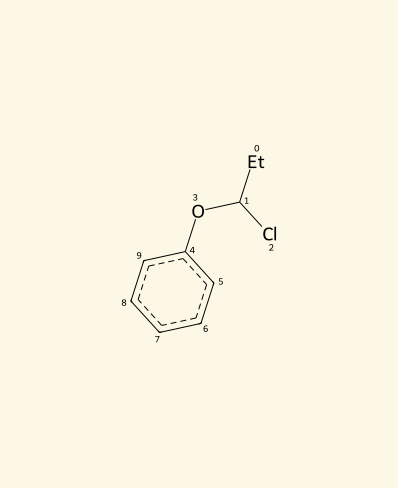 CCC(Cl)Oc1ccccc1